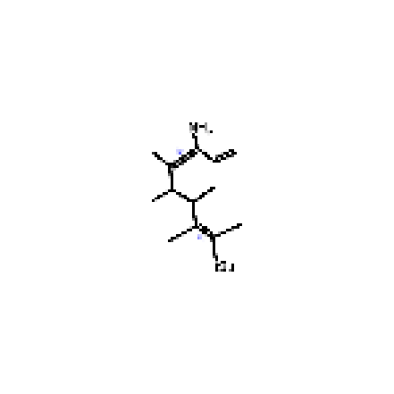 C=C/C(N)=C(/C)C(C)C(C)/C(C)=C(\C)C(C)(C)C